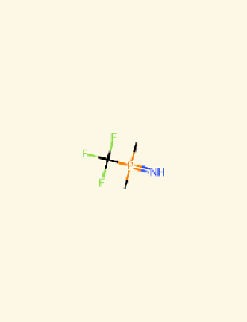 CP(C)(=N)C(F)(F)F